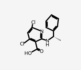 C[C@H](Nc1nc(Cl)cc(Cl)c1C(=O)O)c1ccccc1